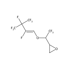 FC(=COC(C1CO1)C(F)(F)F)C(F)(C(F)(F)F)C(F)(F)F